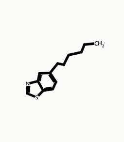 [CH2]CCCCCc1ccc2scnc2c1